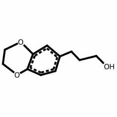 OCCCc1ccc2c(c1)OCCO2